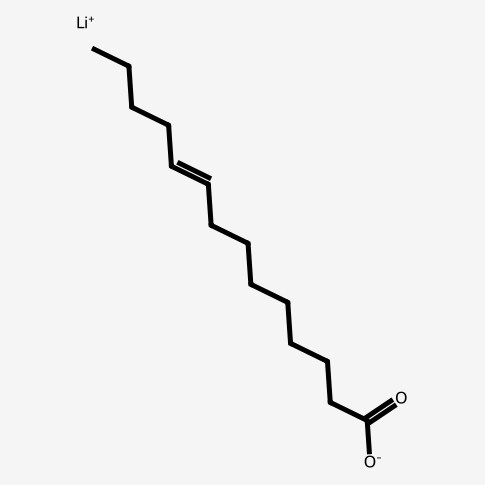 CCCCC=CCCCCCCCC(=O)[O-].[Li+]